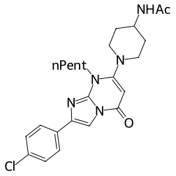 CCCCCn1c(N2CCC(NC(C)=O)CC2)cc(=O)n2cc(-c3ccc(Cl)cc3)nc12